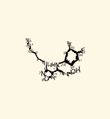 [N-]=[N+]=NCCNc1nonc1/C(=N/O)Nc1ccc(F)c(Br)c1